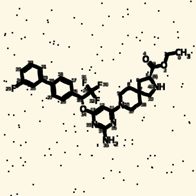 CCOC(=O)[C@@H]1CC2(CCN(c3cc(O[C@H](c4ccc(-c5cccc(F)c5)cc4)C(F)(F)F)nc(N)n3)CC2)CN1